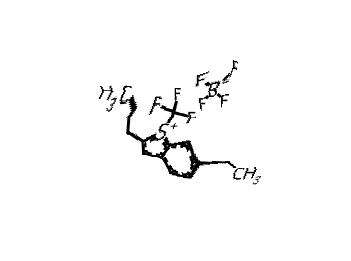 CCCc1cc2ccc(CC)cc2[s+]1C(F)(F)F.F[B-](F)(F)F